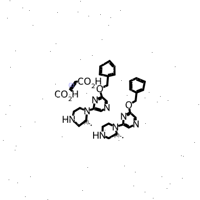 C[C@@H]1CNCCN1c1cncc(OCc2ccccc2)n1.C[C@@H]1CNCCN1c1cncc(OCc2ccccc2)n1.O=C(O)/C=C\C(=O)O